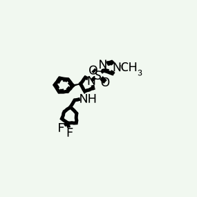 Cn1cnc(S(=O)(=O)N2C[C@H](NCC3CCC(F)(F)CC3)[C@@H](c3ccccc3)C2)c1